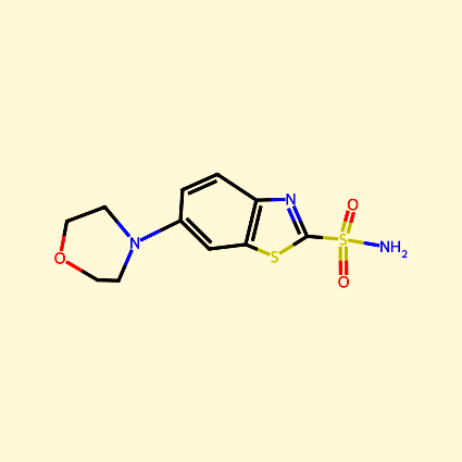 NS(=O)(=O)c1nc2ccc(N3CCOCC3)cc2s1